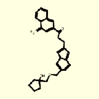 C=C1C=C(C(=O)CCC2=CC3C=C(COCC4(O)CCCC4)C=CC3=C2)C=C2C=CC=CC12